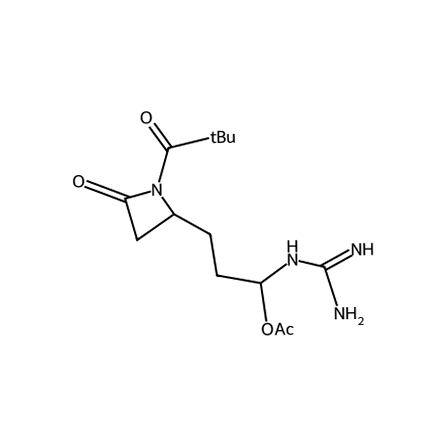 CC(=O)OC(CCC1CC(=O)N1C(=O)C(C)(C)C)NC(=N)N